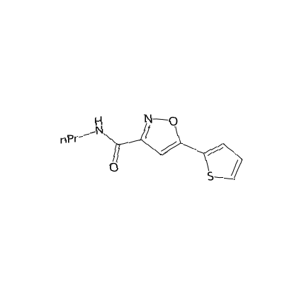 CCCNC(=O)c1cc(-c2cccs2)on1